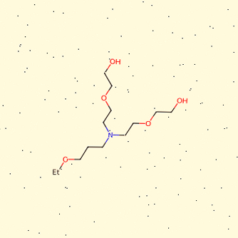 CCOCCCN(CCOCCO)CCOCCO